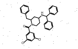 O=C(c1cc(Cl)cc(Cl)c1)N1CCC(NC(c2ccccc2)c2ccccc2)CC1Cc1ccccc1